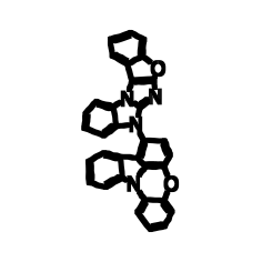 c1ccc2c(c1)Oc1ccc(-n3c4ccccc4n4c5c(nc34)oc3ccccc35)c3c4ccccc4n-2c13